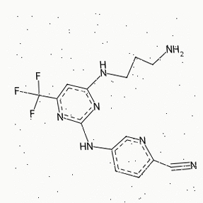 N#Cc1ccc(Nc2nc(NCCCN)cc(C(F)(F)F)n2)cn1